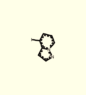 Ic1cccn2nccc12